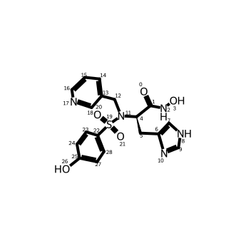 O=C(NO)[C@@H](Cc1c[nH]cn1)N(Cc1cccnc1)S(=O)(=O)c1ccc(O)cc1